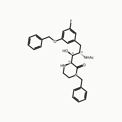 CC(=O)N[C@@H](Cc1cc(F)cc(OCc2ccccc2)c1)[C@H](O)[C@@H]1NCCN(Cc2ccccc2)C1=O